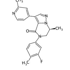 Cc1cc(-c2cnn3c2C(=O)N(c2ccc(C)c(F)c2)C[C@@H]3C)ccn1